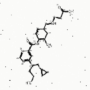 CCCN(CC1CC1)c1cc(C(=O)NC2=C(C)CC(CNCCC(=O)O)C=C2)ncn1